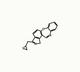 C1=Nc2ccccc2Oc2ccc3c(c21)CN=C3CC1CS1